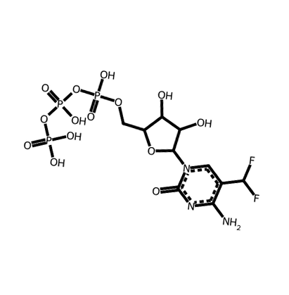 Nc1nc(=O)n(C2OC(COP(=O)(O)OP(=O)(O)OP(=O)(O)O)C(O)C2O)cc1C(F)F